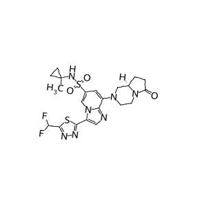 CC1(NS(=O)(=O)c2cc(N3CCN4C(=O)CC[C@@H]4C3)c3ncc(-c4nnc(C(F)F)s4)n3c2)CC1